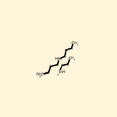 CCCCNCCCC.CC[CH2][SnH]